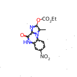 CCOC(=O)Oc1nc2c(=O)[nH]c3cc([N+](=O)[O-])ccc3n2c1C